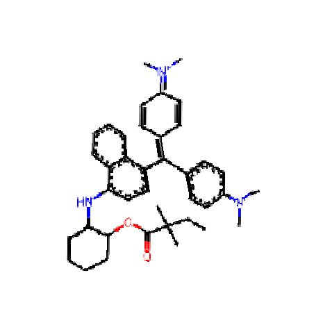 CCC(C)(C)C(=O)OC1CCCCC1Nc1ccc(C(=C2C=CC(=[N+](C)C)C=C2)c2ccc(N(C)C)cc2)c2ccccc12